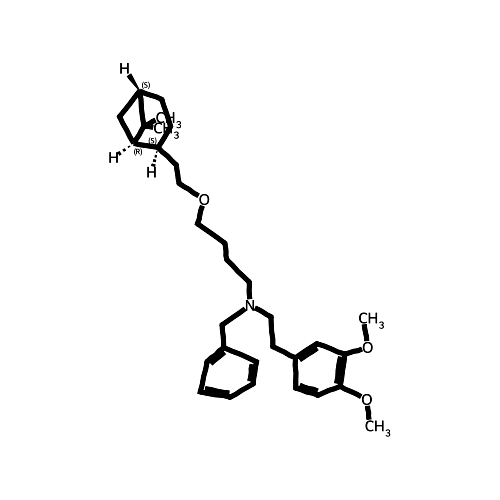 COc1ccc(CCN(CCCCOCC[C@@H]2CC[C@H]3C[C@H]2C3(C)C)Cc2ccccc2)cc1OC